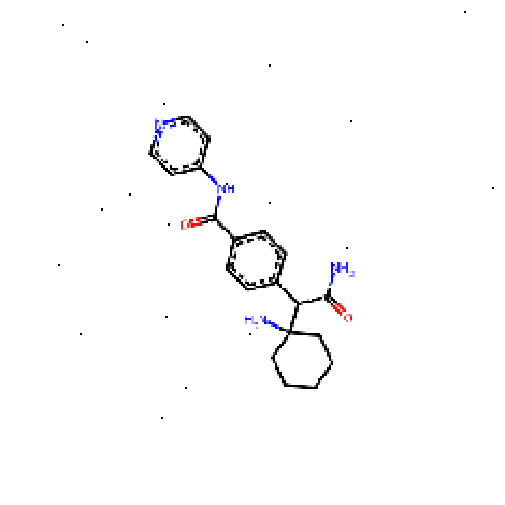 NC(=O)C(c1ccc(C(=O)Nc2ccncc2)cc1)C1(N)CCCCC1